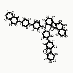 c1ccc2cc(-c3ccc(-c4ccc(N(c5ccc(-c6ccc7c(c6)oc6ccccc67)cc5)c5cccc6c5oc5c7ccccc7ccc65)cc4)cc3)ccc2c1